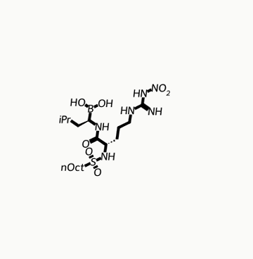 CCCCCCCCS(=O)(=O)N[C@@H](CCCNC(=N)N[N+](=O)[O-])C(=O)N[C@@H](CC(C)C)B(O)O